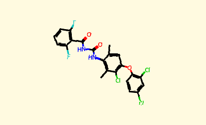 Cc1cc(Oc2ccc(Cl)cc2Cl)c(Cl)c(C)c1NC(=O)NC(=O)c1c(F)cccc1F